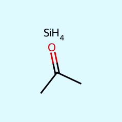 CC(C)=O.[SiH4]